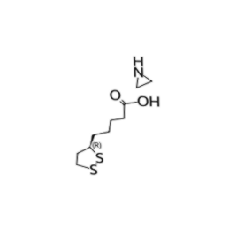 C1CN1.O=C(O)CCCC[C@@H]1CCSS1